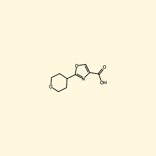 O=C(O)c1coc(C2CCOCC2)n1